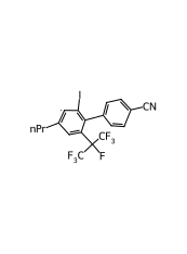 CCCc1[c]c(I)c(-c2ccc(C#N)cc2)c(C(F)(C(F)(F)F)C(F)(F)F)c1